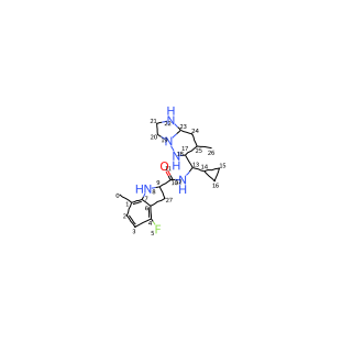 Cc1ccc(F)c2c1NC(C(=O)NC(C1CC1)C1NN3CCNC3CC1C)C2